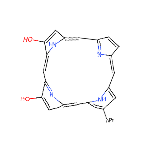 CCCc1cc2cc3nc(cc4cc(O)c(cc5nc(cc1[nH]2)C=C5O)[nH]4)C=C3